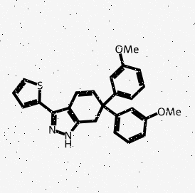 COc1cccc(C2(c3cccc(OC)c3)C=Cc3c(-c4cccs4)n[nH]c3C2)c1